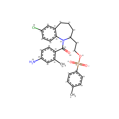 Cc1ccc(S(=O)(=O)OCCC2CCCc3cc(Cl)ccc3N2C(=O)c2ccc(N)cc2C)cc1